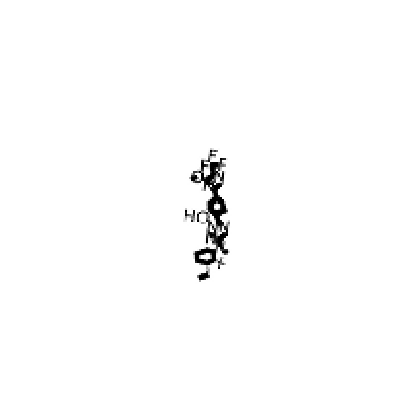 CC[C@@H]1CCC[C@H](N(C)c2cnc(-c3ccc(-c4cnc(C(F)(F)F)c(OC)n4)cc3O)nn2)[C@@H]1F